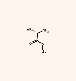 CCCC[C@H](N)C(=O)OC(C)(C)C